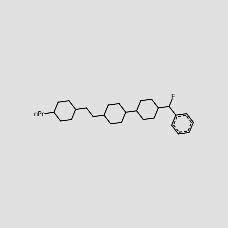 CCCC1CCC(CCC2CCC(C3CCC(C(F)c4ccccc4)CC3)CC2)CC1